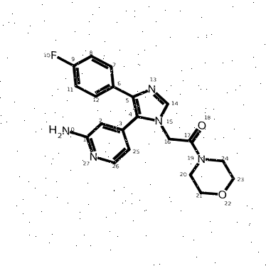 Nc1cc(-c2c(-c3ccc(F)cc3)ncn2CC(=O)N2CCOCC2)ccn1